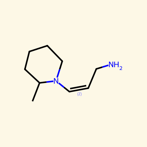 CC1CCCCN1/C=C\CN